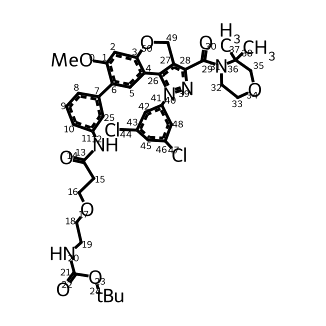 COc1cc2c(cc1-c1cccc(NC(=O)CCOCCNC(=O)OC(C)(C)C)c1)-c1c(c(C(=O)N3CCOCC3(C)C)nn1-c1cc(Cl)cc(Cl)c1)CO2